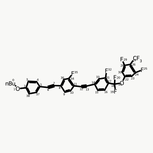 CCCCOc1ccc(C#Cc2ccc(C#Cc3ccc(C(F)(F)Oc4cc(F)c(C(F)(F)F)c(F)c4)c(F)c3)c(F)c2)cc1